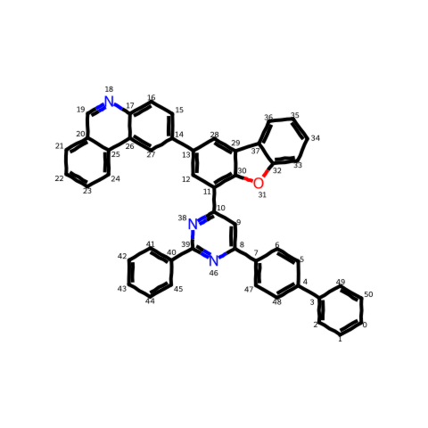 c1ccc(-c2ccc(-c3cc(-c4cc(-c5ccc6ncc7ccccc7c6c5)cc5c4oc4ccccc45)nc(-c4ccccc4)n3)cc2)cc1